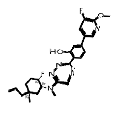 CCC[C@]1(C)CC[C@H](F)[C@H](N(C)c2cnc(-c3ccc(-c4cnc(OC)c(F)c4)cc3O)nn2)C1